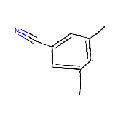 Cc1[c]c(C)cc(C#N)c1